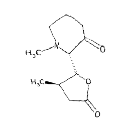 C[C@@H]1CC(=O)OC1[C@H]1C(=O)CCCN1C